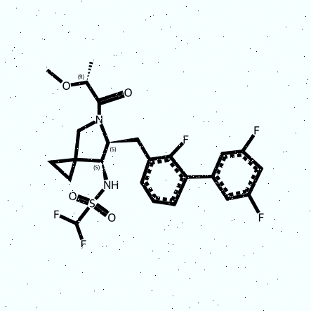 CO[C@H](C)C(=O)N1CC2(CC2)[C@H](NS(=O)(=O)C(F)F)[C@@H]1Cc1cccc(-c2cc(F)cc(F)c2)c1F